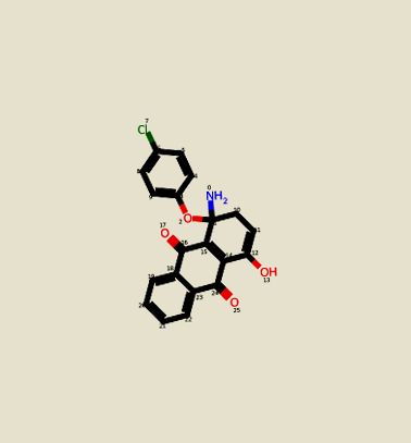 NC1(Oc2ccc(Cl)cc2)CC=C(O)C2=C1C(=O)c1ccccc1C2=O